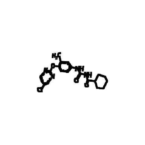 Cc1cc(NC(=O)NC(=O)C2CCCCC2)ccc1Oc1ncc(Cl)cn1